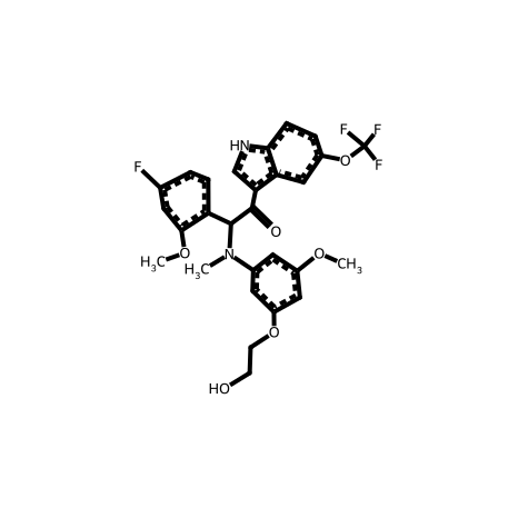 COc1cc(OCCO)cc(N(C)C(C(=O)c2c[nH]c3ccc(OC(F)(F)F)cc23)c2ccc(F)cc2OC)c1